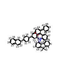 CC1(C)c2ccccc2-c2c(N(c3cccc(-c4ccc(-c5ccc6ccccc6c5)cc4)c3)c3ccccc3-c3ccccc3-c3ccccc3)cccc21